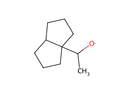 CC([O])C12CCCC1CCC2